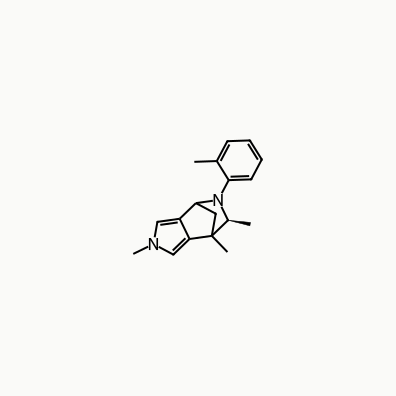 Cc1ccccc1N1C2CC(C)(c3cn(C)cc32)[C@@H]1C